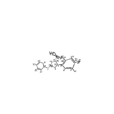 Cc1cc([C@H]2CN(Cc3ccccc3)C[C@@H]2NO)c(F)cc1F